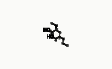 CCCC(CO)CC(CC)CO